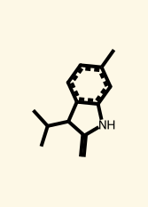 C=C1Nc2cc(C)ccc2C1C(C)C